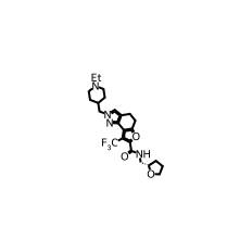 CCN1CCC(Cn2cc3c(n2)-c2c(oc(C(=O)NC[C@@H]4CCCO4)c2C(F)(F)F)CC3)CC1